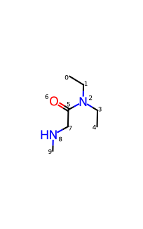 CCN(CC)C(=O)CNC